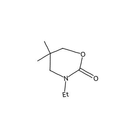 CCN1CC(C)(C)COC1=O